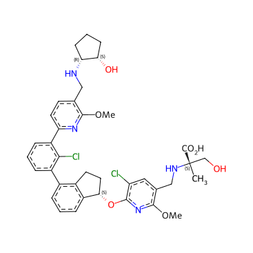 COc1nc(-c2cccc(-c3cccc4c3CC[C@@H]4Oc3nc(OC)c(CN[C@@](C)(CO)C(=O)O)cc3Cl)c2Cl)ccc1CN[C@@H]1CCC[C@@H]1O